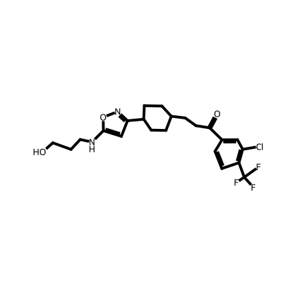 O=C(CCC1CCC(c2cc(NCCCO)on2)CC1)c1ccc(C(F)(F)F)c(Cl)c1